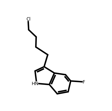 Fc1ccc2[nH]cc(CCCCCl)c2c1